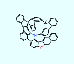 CC12c3ccc4c(c3)-c3ccccc3C43c4ccccc4-c4ccc(cc43)N(c3c(-c4ccccc4)ccc4oc5cc6ccccc6cc5c34)c3ccc(c1c3)-c1ccccc12